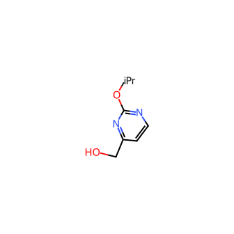 CC(C)Oc1nccc(CO)n1